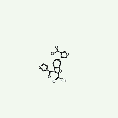 O=C(Cl)c1ccoc1.O=C(O)c1oc2ccccc2c1C(=O)c1ccsc1